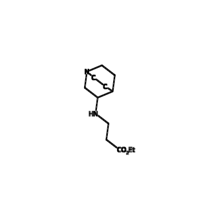 CCOC(=O)CCNC1CN2CCC1CC2